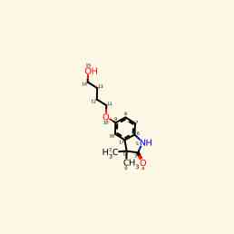 CC1(C)C(=O)Nc2ccc(OCCCCO)cc21